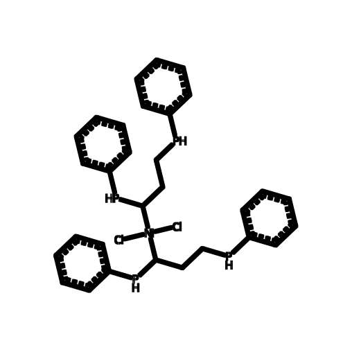 [Cl][Ni]([Cl])([CH](CCPc1ccccc1)Pc1ccccc1)[CH](CCPc1ccccc1)Pc1ccccc1